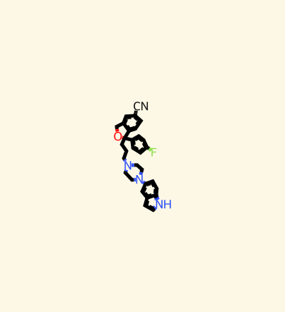 N#Cc1ccc2c(c1)COC2(CCCN1CCN(c2ccc3[nH]ccc3c2)CC1)c1ccc(F)cc1